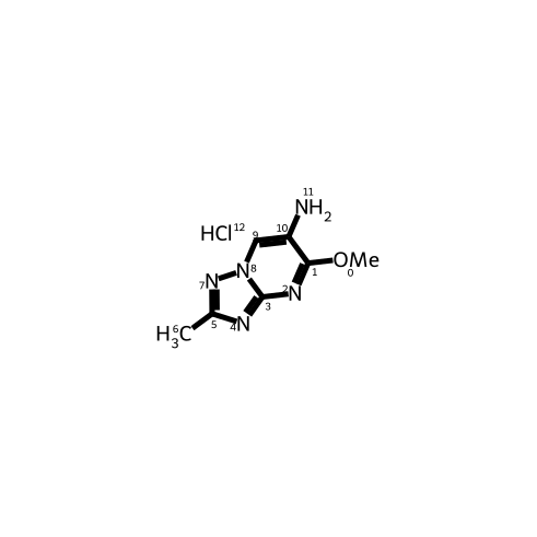 COc1nc2nc(C)nn2cc1N.Cl